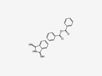 N=C1NC(=N)c2ccccc21.O=C(OC(=O)c1ccccc1)c1ccccc1